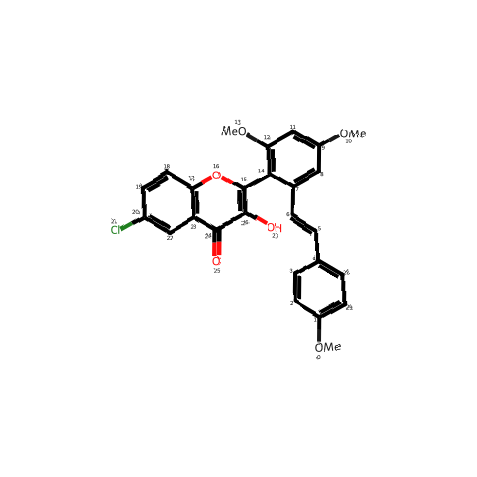 COc1ccc(/C=C/c2cc(OC)cc(OC)c2-c2oc3ccc(Cl)cc3c(=O)c2O)cc1